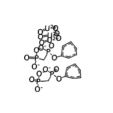 O=P([O-])([O-])CP(=O)([O-])Oc1ccccc1.O=P([O-])([O-])CP(=O)([O-])Oc1ccccc1.[O]=[U+2]=[O].[O]=[U+2]=[O].[O]=[U+2]=[O]